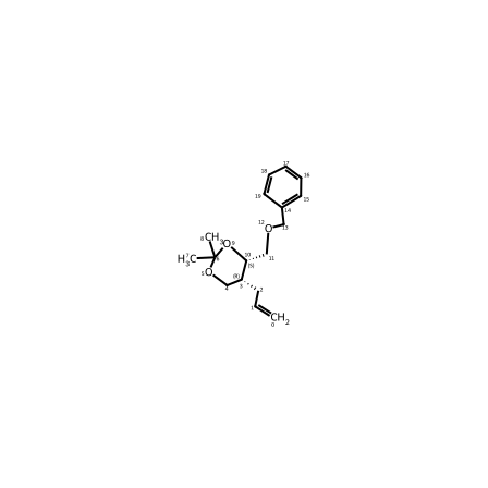 C=CC[C@@H]1COC(C)(C)O[C@@H]1COCc1ccccc1